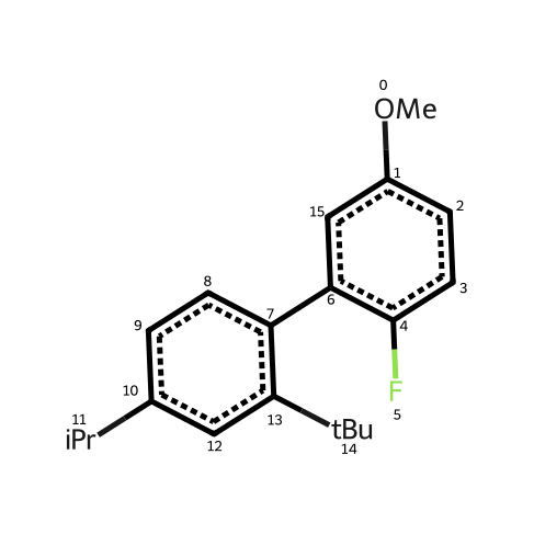 COc1ccc(F)c(-c2ccc(C(C)C)cc2C(C)(C)C)c1